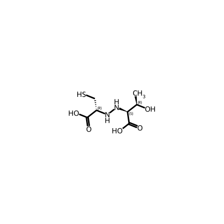 C[C@@H](O)[C@H](NN[C@@H](CS)C(=O)O)C(=O)O